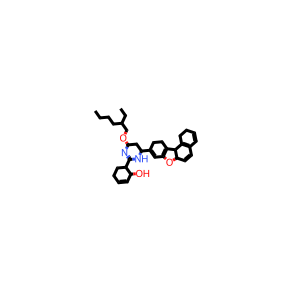 CCCCC(CC)COC1CC(C2=CC3=C(CC2)C2C4=C(C=CCC4)C=CC2O3)NC(C2CCC=CC2O)=N1